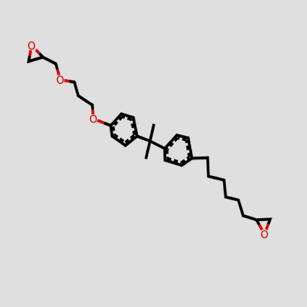 CC(C)(c1ccc(CCCCCCC2CO2)cc1)c1ccc(OCCCOCC2CO2)cc1